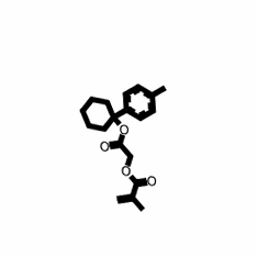 C=C(C)C(=O)OCC(=O)OC1(c2ccc(C)cc2)CCCCC1